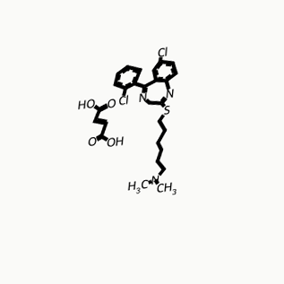 CN(C)CCCCCCSC1=Nc2ccc(Cl)cc2C(c2ccccc2Cl)=NC1.O=C(O)C=CC(=O)O